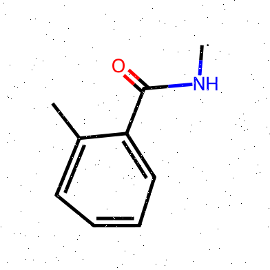 [CH2]NC(=O)c1ccccc1C